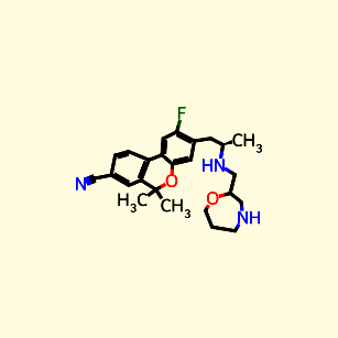 C[C@H](Cc1cc2c(cc1F)-c1ccc(C#N)cc1C(C)(C)O2)NCC1CNCCCO1